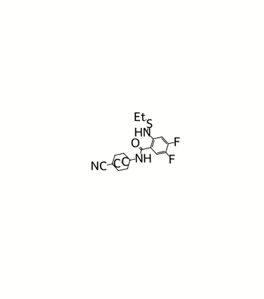 CCSNc1cc(F)c(F)cc1C(=O)NC12CCC(C#N)(CC1)CC2